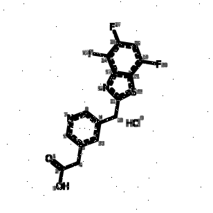 Cl.O=C(O)Cc1cncc(Cc2nc3c(F)c(F)cc(F)c3s2)c1